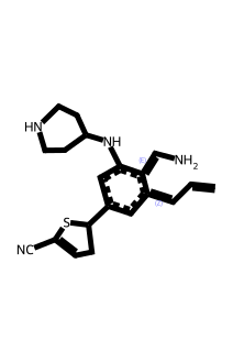 C=C/C=c1/cc(C2CC=C(C#N)S2)cc(NC2CCNCC2)/c1=C/N